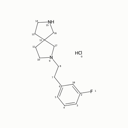 Cl.Fc1cccc(CCN2CCC3(CCNC3)C2)c1